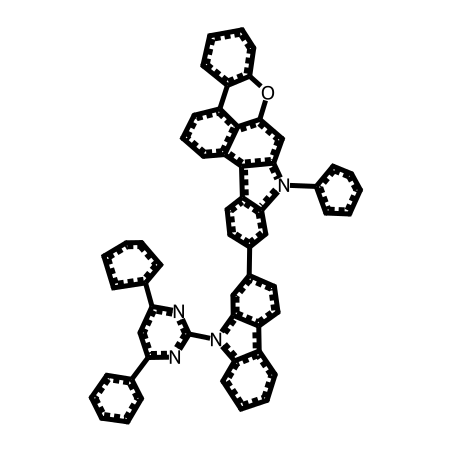 c1ccc(-c2cc(-c3ccccc3)nc(-n3c4ccccc4c4ccc(-c5ccc6c7c8cccc9c8c(cc7n(-c7ccccc7)c6c5)Oc5ccccc5-9)cc43)n2)cc1